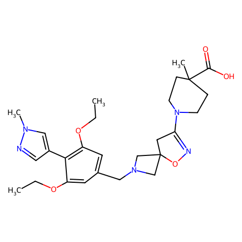 CCOc1cc(CN2CC3(CC(N4CCC(C)(C(=O)O)CC4)=NO3)C2)cc(OCC)c1-c1cnn(C)c1